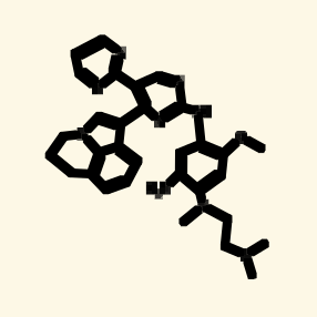 COc1cc(N(C)CCN(C)C)c(N)cc1Nc1ncc(-c2ncccn2)c(-c2cn3c4c(cccc24)CCC3)n1